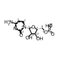 Nc1ccn([C@@H]2O[C@H](CO[PH](=O)O)C(O)C2O)c(=O)n1